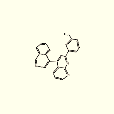 Cc1cccc(-c2cc(-c3cncc4ccccc34)c3cccnc3n2)n1